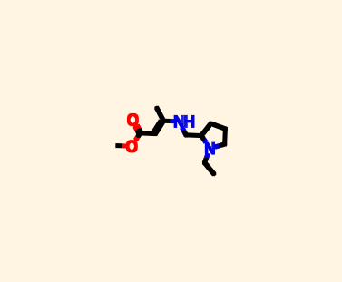 CCN1CCCC1CNC(C)=CC(=O)OC